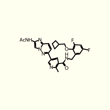 CC(=O)Nc1cn2nc(-c3cnc(C)c(C(=O)NCc4cc(F)cc(F)c4OCC4CCC4)c3)ccc2n1